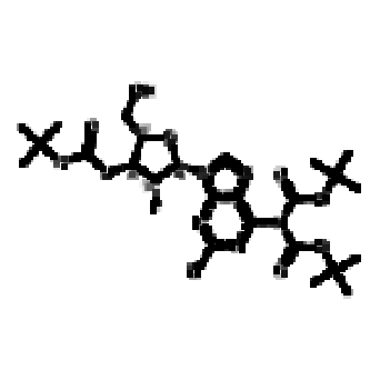 CC(C)(C)OC(=O)O[C@@H]1[C@@H](F)[C@H](n2cnc3c(N(C(=O)OC(C)(C)C)C(=O)OC(C)(C)C)nc(Cl)nc32)O[C@@H]1CO